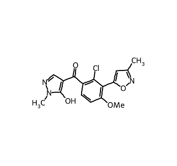 COc1ccc(C(=O)c2cnn(C)c2O)c(Cl)c1-c1cc(C)no1